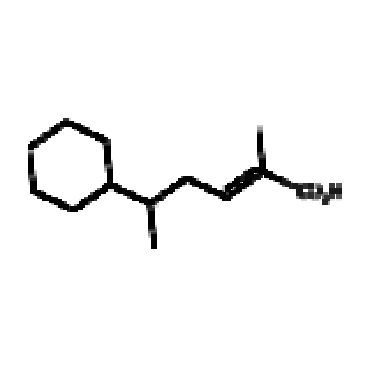 C[C](CC=C(C)C(=O)O)C1CCCCC1